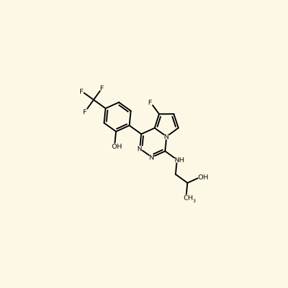 CC(O)CNc1nnc(-c2ccc(C(F)(F)F)cc2O)c2c(F)ccn12